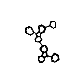 C1=CCC(c2ccc3c(c2)c2cc(-c4ccc5c(c4)c4ccccc4n5-c4ccccc4)ccc2n3-c2ccccc2)C=C1